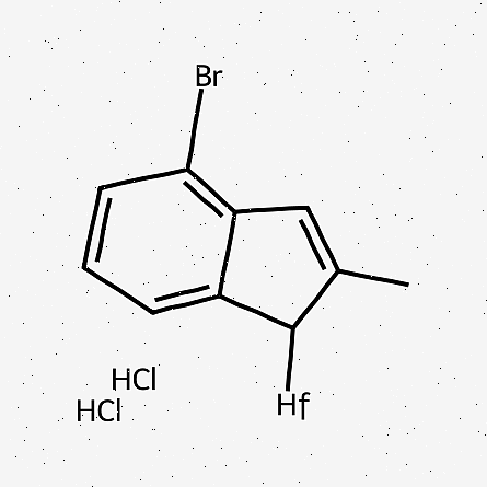 CC1=Cc2c(Br)cccc2[CH]1[Hf].Cl.Cl